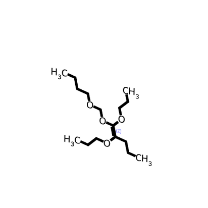 CCCCOCO/C(OCCC)=C(/CCC)OCCC